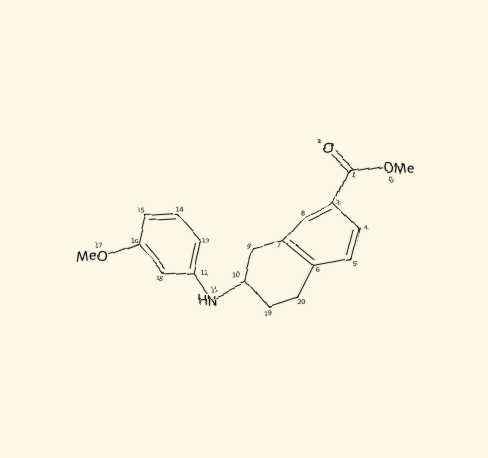 COC(=O)c1ccc2c(c1)CC(Nc1cccc(OC)c1)CC2